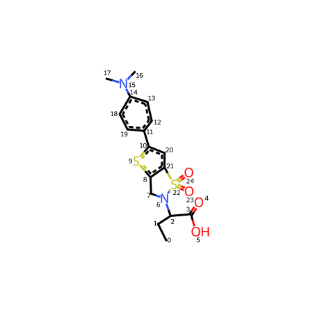 CCC(C(=O)O)N1Cc2sc(-c3ccc(N(C)C)cc3)cc2S1(=O)=O